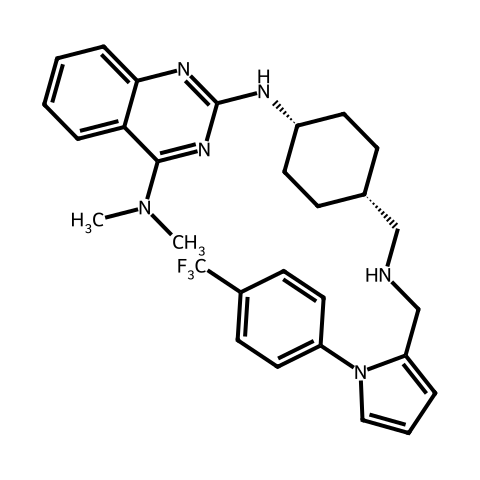 CN(C)c1nc(N[C@H]2CC[C@@H](CNCc3cccn3-c3ccc(C(F)(F)F)cc3)CC2)nc2ccccc12